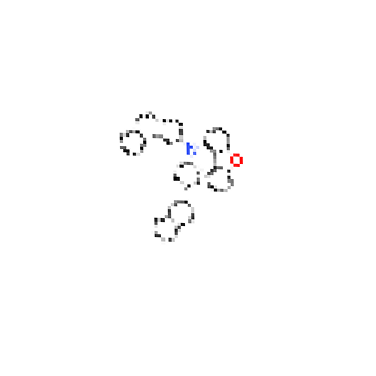 c1ccc2cc(-c3ccc(N(c4ccc5ccc6ccccc6c5c4)c4cccc5oc6ccccc6c45)cc3)ccc2c1